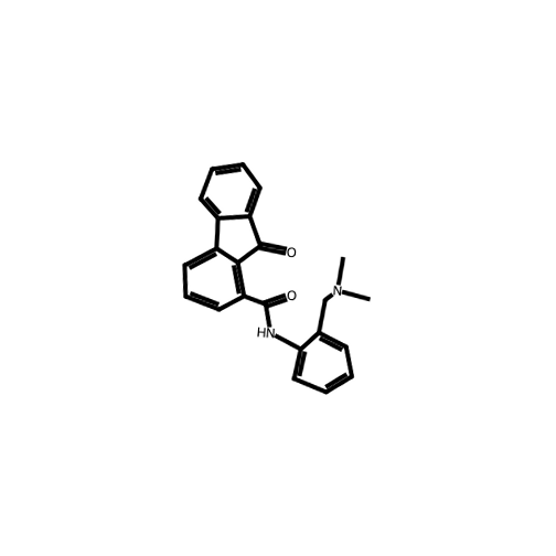 CN(C)Cc1ccccc1NC(=O)c1cccc2c1C(=O)c1ccccc1-2